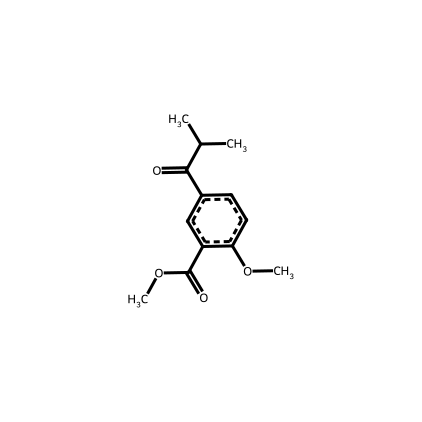 COC(=O)c1cc(C(=O)C(C)C)ccc1OC